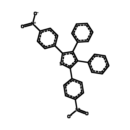 O=[N+]([O-])c1ccc(-c2sc(-c3ccc([N+](=O)[O-])cc3)c(-c3ccccc3)c2-c2ccccc2)cc1